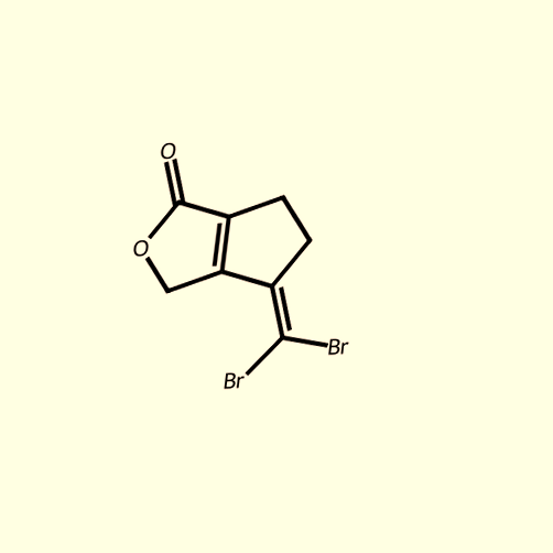 O=C1OCC2=C1CCC2=C(Br)Br